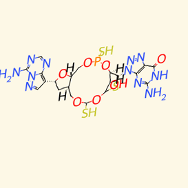 Nc1nc2c(nnn2[C@@H]2SC3OC(S)OC[C@H]4C[C@H](c5cnn6c(N)ncnc56)O[C@@H]4COP(S)O[C@@H]2[C@@H]3O)c(=O)[nH]1